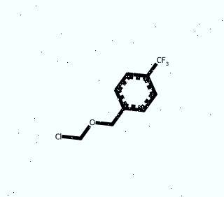 FC(F)(F)c1ccc(COCCl)cc1